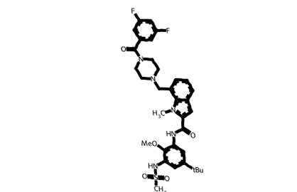 COc1c(NC(=O)c2cc3cccc(CN4CCN(C(=O)c5cc(F)cc(F)c5)CC4)c3n2C)cc(C(C)(C)C)cc1NS(C)(=O)=O